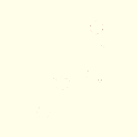 COc1cc(-n2cnc3c(c2=O)SC(c2ccc(CI)cc2)C3)ccc1OCCN(C)Cc1ccc(C(C)C)cc1